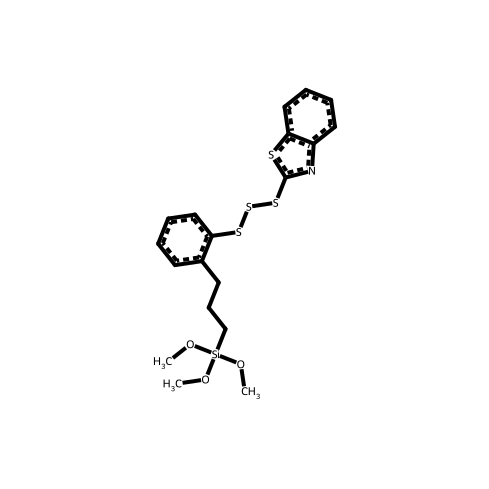 CO[Si](CCCc1ccccc1SSSc1nc2ccccc2s1)(OC)OC